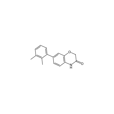 Cc1cccc(-c2ccc3c(c2)OCC(=O)N3)c1C